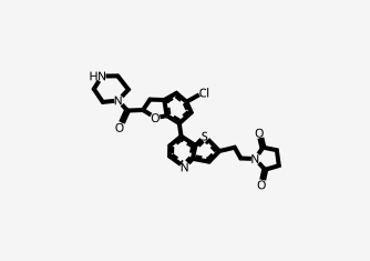 O=C(C1Cc2cc(Cl)cc(-c3ccnc4cc(CCN5C(=O)CCC5=O)sc34)c2O1)N1CCNCC1